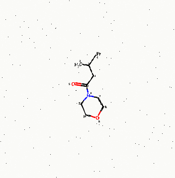 CC(C)C(C)CC(=O)N1CCOCC1